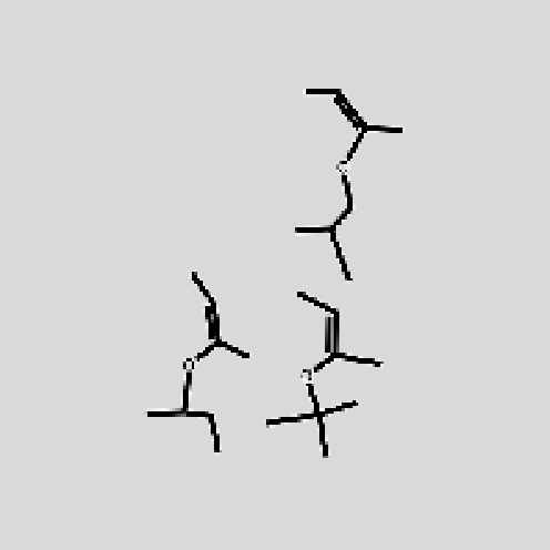 CC=C(C)OC(C)(C)C.CC=C(C)OC(C)CC.CC=C(C)OCC(C)C